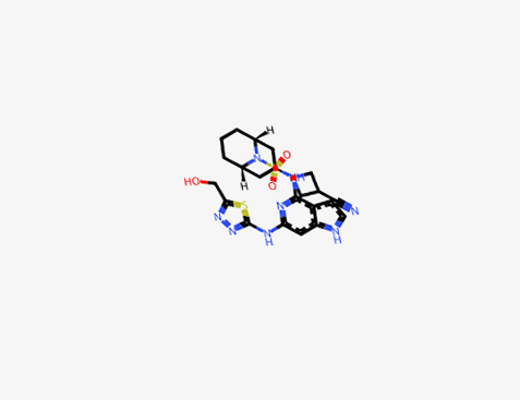 N#CC1CN(S(=O)(=O)N2[C@@H]3CCC[C@H]2C[C@H](Nc2nc(Nc4nnc(CO)s4)cc4[nH]ccc24)C3)C1